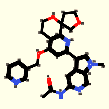 CC(=O)Nc1cc2c(-c3cc(OCc4cccnc4)c4c(n3)C3(CCOC3)OCC4)cn(C)c2cn1